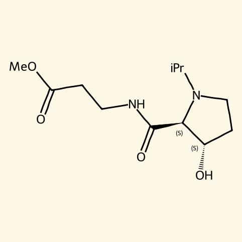 COC(=O)CCNC(=O)[C@@H]1[C@@H](O)CCN1C(C)C